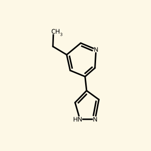 CCc1cncc(-c2cn[nH]c2)c1